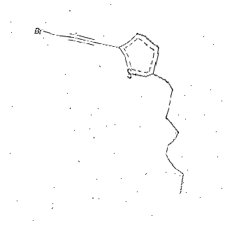 CCCCCCc1ccc(C#CBr)s1